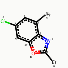 CCc1nc2c(C(C)C)cc(Cl)cc2o1